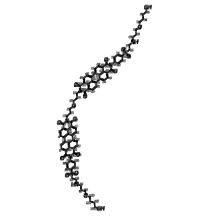 O=C1c2ccc3c4ccc5c6c(ccc(c7ccc(c2c37)C(=O)N1CCCOCCCN1C(=O)c2ccc3c7ccc8c9c(ccc(c%10ccc(c2c3%10)C1=O)c97)C(=O)N(c1ccc(S(=O)(=O)CCNCCCOCCCCO)cc1)C8=O)c64)C(=O)N(c1ccc(S(=O)(=O)CCNCCCOCCCCO)cc1)C5=O